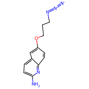 [N-]=[N+]=NCCCOc1ccc2nc(N)ccc2c1